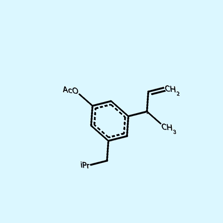 C=C[C](C)c1cc(CC(C)C)cc(OC(C)=O)c1